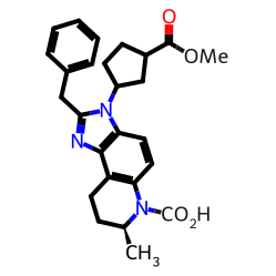 COC(=O)C1CCC(n2c(Cc3ccccc3)nc3c4c(ccc32)N(C(=O)O)[C@@H](C)CC4)C1